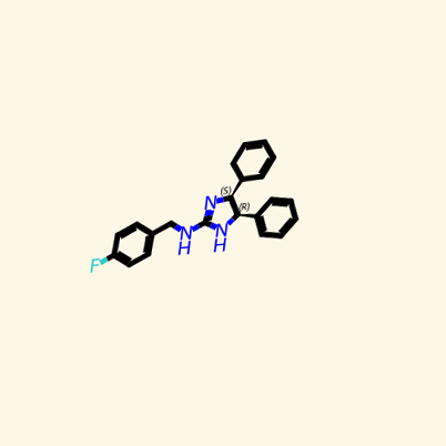 Fc1ccc(CNC2=N[C@@H](C3C=CC=CC3)[C@@H](c3ccccc3)N2)cc1